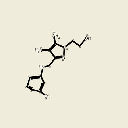 Nc1c(CNc2cccc(O)c2)nn(CCO)c1N